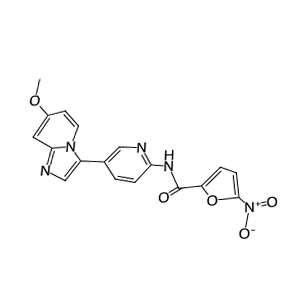 COc1ccn2c(-c3ccc(NC(=O)c4ccc([N+](=O)[O-])o4)nc3)cnc2c1